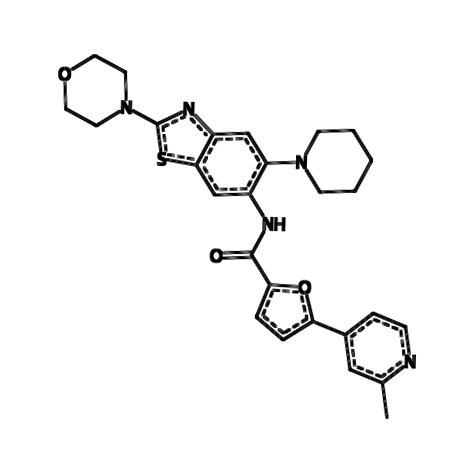 Cc1cc(-c2ccc(C(=O)Nc3cc4sc(N5CCOCC5)nc4cc3N3CCCCC3)o2)ccn1